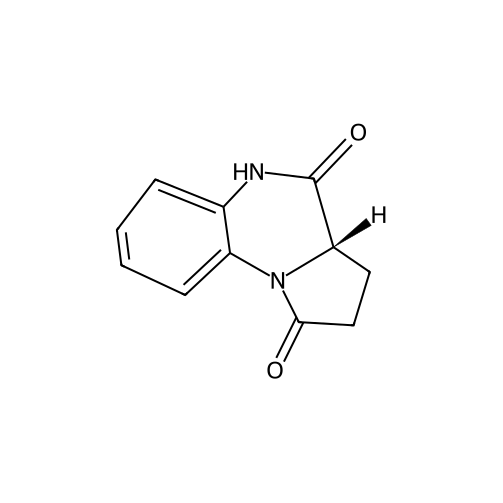 O=C1Nc2ccccc2N2C(=O)CC[C@@H]12